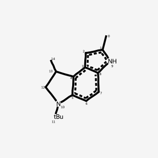 Cc1cc2c3c(ccc2[nH]1)N(C(C)(C)C)CC3C